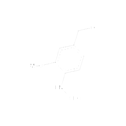 COc1cc(C[O])ccc1NC=O